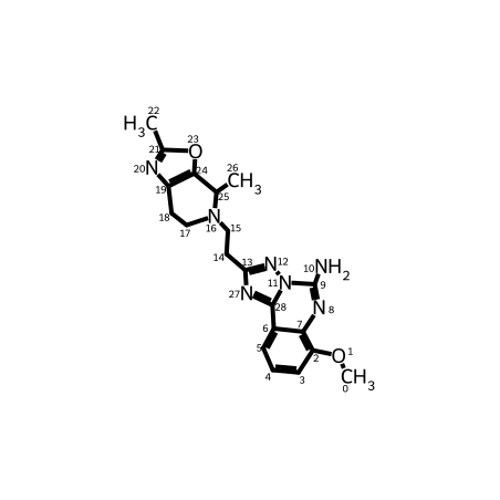 COc1cccc2c1nc(N)n1nc(CCN3CCc4nc(C)oc4C3C)nc21